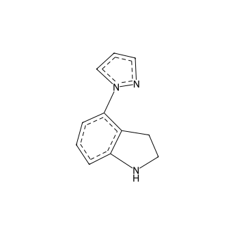 c1cc2c(c(-n3cccn3)c1)CCN2